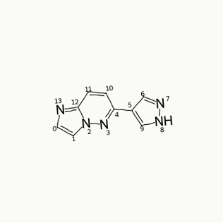 c1cn2nc(-c3cn[nH]c3)ccc2n1